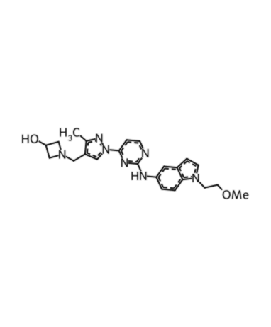 COCCn1ccc2cc(Nc3nccc(-n4cc(CN5CC(O)C5)c(C)n4)n3)ccc21